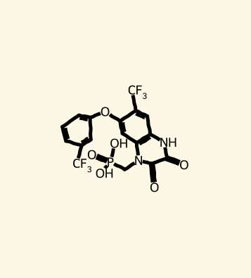 O=c1[nH]c2cc(C(F)(F)F)c(Oc3cccc(C(F)(F)F)c3)cc2n(CP(=O)(O)O)c1=O